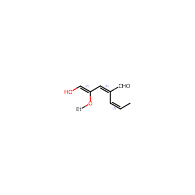 C\C=C/C(C=O)=C\C(=C\O)OCC